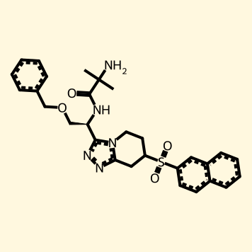 CC(C)(N)C(=O)N[C@H](COCc1ccccc1)c1nnc2n1CCC(S(=O)(=O)c1ccc3ccccc3c1)C2